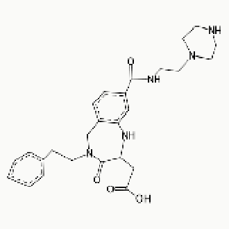 O=C(O)CC1Nc2cc(C(=O)NCCN3CCNCC3)ccc2CN(CCc2ccccc2)C1=O